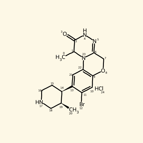 CC1C(=O)NN=C2COc3cc(Br)c([C@@H]4CCNC[C@@H]4C)cc3N21.Cl